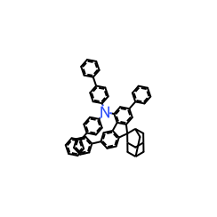 c1ccc(-c2ccc(N(c3ccc(-c4ccccc4)cc3)c3cc(-c4ccccc4)cc4c3-c3cc(-c5ccccc5)ccc3C43C4CC5CC(C4)CC3C5)cc2)cc1